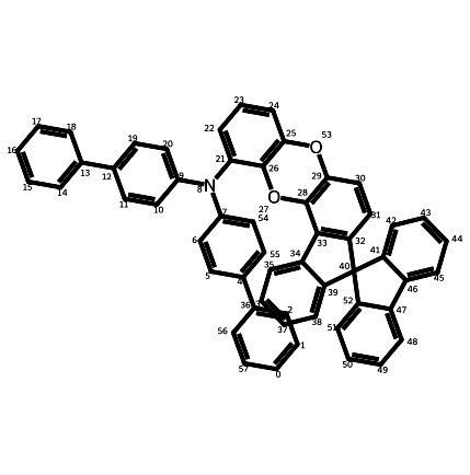 c1ccc(-c2ccc(N(c3ccc(-c4ccccc4)cc3)c3cccc4c3Oc3c(ccc5c3-c3ccccc3C53c5ccccc5-c5ccccc53)O4)cc2)cc1